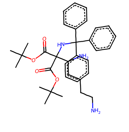 CC(C)(C)OC(=O)C(NC(c1ccccc1)(c1ccccc1)c1ccccc1)(C(=O)OC(C)(C)C)C(N)CCCCN